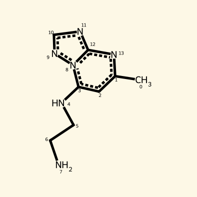 Cc1cc(NCCN)n2ncnc2n1